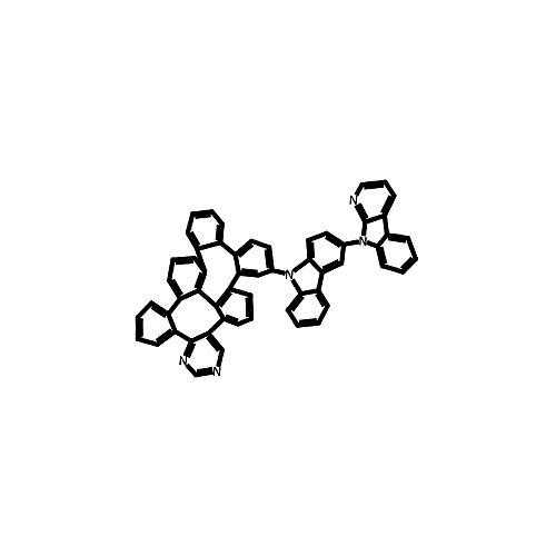 c1cc2c3c(c1)c1ccccc1c1ncncc1c1cccc(c1-3)c1cc(-n3c4ccccc4c4cc(-n5c6ccccc6c6cccnc65)ccc43)ccc1c1ccccc21